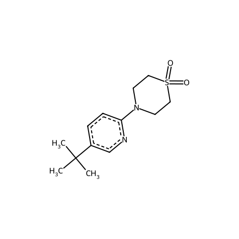 CC(C)(C)c1ccc(N2CCS(=O)(=O)CC2)nc1